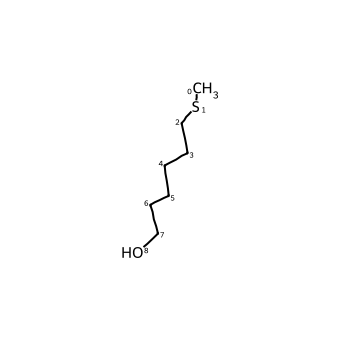 CSCCCCCCO